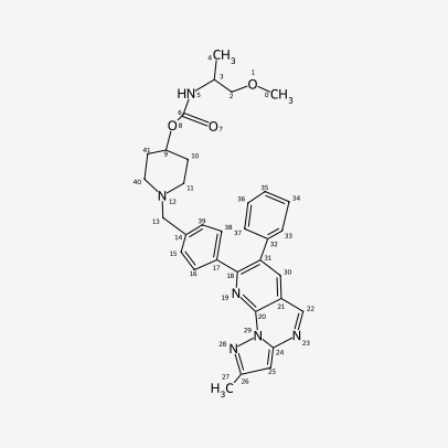 COCC(C)NC(=O)OC1CCN(Cc2ccc(-c3nc4c(cnc5cc(C)nn54)cc3-c3ccccc3)cc2)CC1